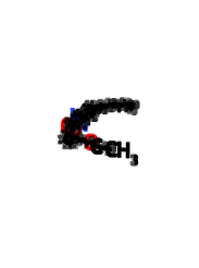 CCCCCCOCCCCc1ccccc1C1OC=C(c2ncc(-c3ccc(CCCCCCCCCC4CC4)cc3)cn2)O1